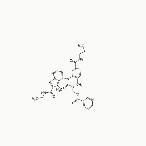 CCCNC(=O)c1ccc(C)c(N(C(=O)OCOC(=O)c2cccnc2)c2ncnn3cc(C(=O)NCC)c(C)c23)c1